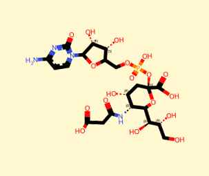 Nc1ccn(C2OC(COP(=O)(O)O[C@]3(C(=O)O)C[C@@H](O)[C@@H](NC(=O)CC(=O)O)C([C@H](O)[C@H](O)CO)O3)[C@@H](O)[C@H]2O)c(=O)n1